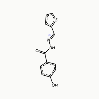 O=C(N/N=C/c1cccs1)c1ccc(O)cc1